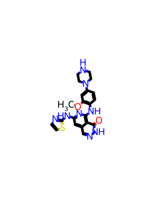 COc1cc(N2CCNCC2)ccc1Nc1nc(Nc2nccs2)cc2cn[nH]c(=O)c12